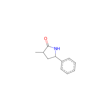 CC1CC(c2ccccc2)NC1=O